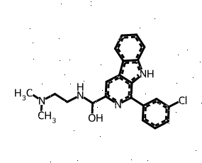 CN(C)CCNC(O)c1cc2c([nH]c3ccccc32)c(-c2cccc(Cl)c2)n1